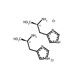 N[C@@H](Cc1c[nH]cn1)C(=O)O.N[C@@H](Cc1c[nH]cn1)C(=O)O.[Cr].[Cr]